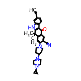 C#Cc1ccc2c3c([nH]c2c1)C(C)(C)c1cc(N2CCC(N4CCN(C5CC5)CC4)CC2)c(C#N)cc1C3=O